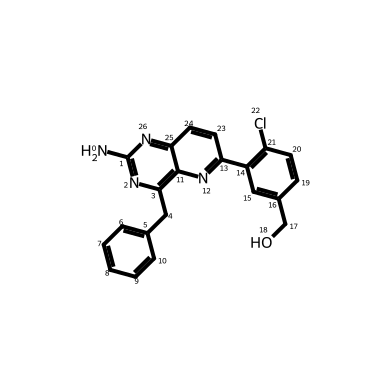 Nc1nc(Cc2ccccc2)c2nc(-c3cc(CO)ccc3Cl)ccc2n1